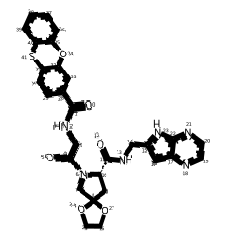 O=C(NCC(=O)N1CC2(C[C@H]1C(=O)NCc1cc3nccnc3[nH]1)OCCO2)c1ccc2c(c1)Oc1ccccc1S2